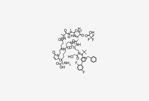 C[C@H](NC(=O)CCCCCN1C(=O)C=CC1=O)C(=O)N[C@@H](C)C(=O)N[C@@H](CC(=O)N[C@@H](CCN(C(=O)CO)[C@@H](c1cc(-c2cc(F)ccc2F)cn1Cc1ccccc1)C(C)(C)C)C(=O)NCCC(=O)NCCCC[C@H](N)C(=O)O)C(N)=O.O=C(O)C(F)(F)F